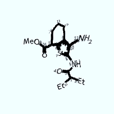 CCC(CC)C(=O)Nc1sc2c(c1N)CCCC2C(=O)OC